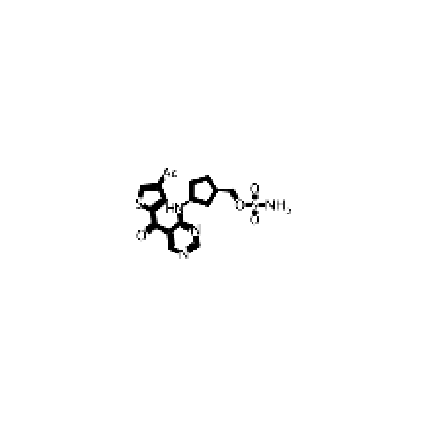 CC(=O)c1csc(C(=O)c2cncnc2N[C@H]2CC[C@@H](COS(N)(=O)=O)C2)c1